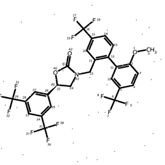 COc1ccc(C(F)(F)F)cc1-c1ccc(C(F)(F)F)cc1CN1C[C@@H](c2cc(C(F)(F)F)cc(C(F)(F)F)c2)OC1=O